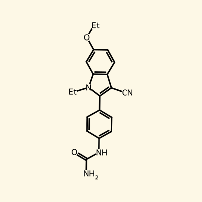 CCOc1ccc2c(C#N)c(-c3ccc(NC(N)=O)cc3)n(CC)c2c1